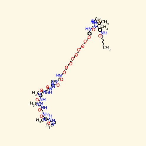 CCCCCCCC(=O)Nc1ccc(C2=N[C@@H](CC(=O)Nc3ccc(OCCOCCOCCOCCOCCOCCOCCOCCOCCNC(=O)CCNC(=O)c4nc(NC(=O)CCNC(=O)c5cc(NC(=O)c6nc(NC(=O)CCNC(=O)c7cc(NC(=O)c8nccn8C)cn7C)cn6C)cn5C)cn4C)cc3)c3nnc(C)n3-c3sc(C)c(C)c32)cc1